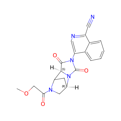 COCC(=O)N1C[C@H]2CC1[C@H]1C(=O)N(c3cnc(C#N)c4ccccc34)C(=O)N21